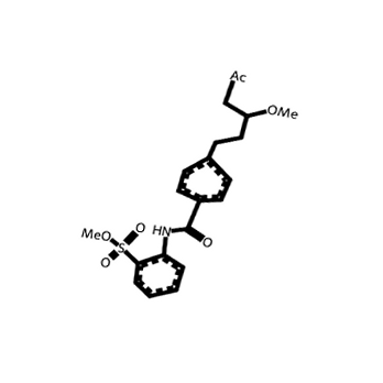 COC(CCc1ccc(C(=O)Nc2ccccc2S(=O)(=O)OC)cc1)CC(C)=O